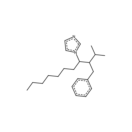 CCCCCCCC(C(Cc1ccccc1)C(C)C)n1ccnc1